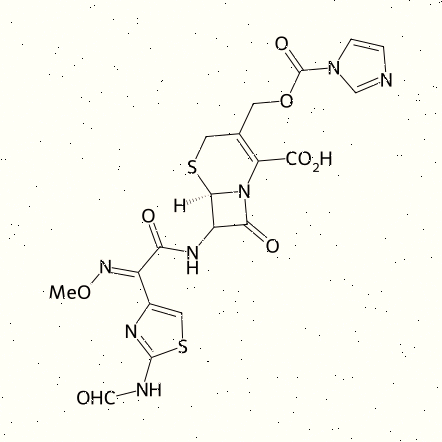 CO/N=C(/C(=O)NC1C(=O)N2C(C(=O)O)=C(COC(=O)n3ccnc3)CS[C@H]12)c1csc(NC=O)n1